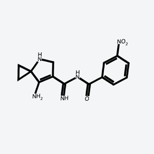 N=C(NC(=O)c1cccc([N+](=O)[O-])c1)C1=C(N)C2(CC2)NC1